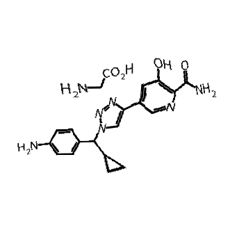 NC(=O)c1ncc(-c2cn(C(c3ccc(N)cc3)C3CC3)nn2)cc1O.NCC(=O)O